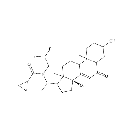 CC(C1CC[C@@]2(O)C3=CC(=O)C4CC(O)CCC4(C)C3CCC12C)N(CC(F)F)C(=O)C1CC1